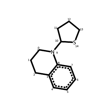 [C]1CCc2ccccc2N1C1CCCS1